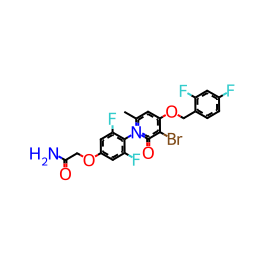 Cc1cc(OCc2ccc(F)cc2F)c(Br)c(=O)n1-c1c(F)cc(OCC(N)=O)cc1F